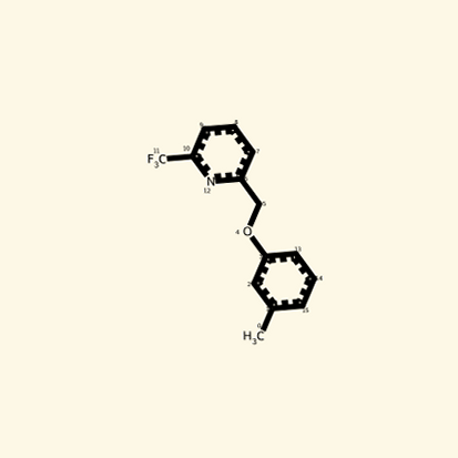 Cc1[c]c(OCc2cccc(C(F)(F)F)n2)ccc1